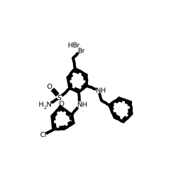 Br.NS(=O)(=O)c1cc(CBr)cc(NCc2ccccc2)c1Nc1ccc(Cl)cc1